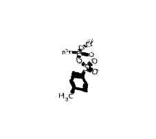 CCCP(=O)(OCC)OS(=O)(=O)c1ccc(C)cc1